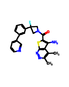 Cc1nnc2sc(C(=O)N3CC(F)(c4cccc(-c5cccnc5)c4)C3)c(N)c2c1C